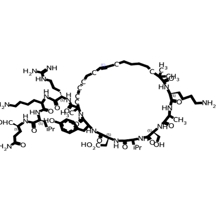 CC(C)C[C@H](NC(=O)C(CCCCN)NC(=O)[C@H](CCCNC(=N)N)NC(=O)C1(C)CCCCCC/C=C/CCCCCCC(C)(C)C(=O)N[C@@H](CCCCN)C(=O)NC(C)C(=O)N[C@@H](CO)C(=O)NC(C(C)C)C(=O)N[C@@H](CC(=O)O)C(=O)NC(Cc2ccc(O)cc2)C(=O)N1)C(=O)N[C@H](C=O)CCC(N)=O